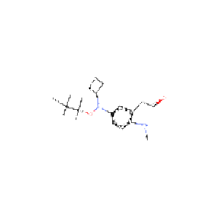 CNc1ccc(N(OC(C)(C)C(C)(C)C)C2CCC2)cc1CC=O